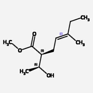 CC/C(C)=C/C[C@H](C(=O)OC)[C@H](C)O